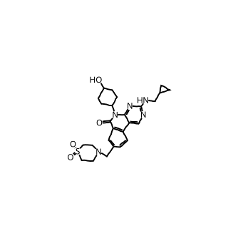 O=c1c2cc(CN3CCS(=O)(=O)CC3)ccc2c2cnc(NCC3CC3)nc2n1C1CCC(O)CC1